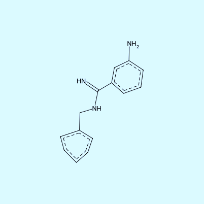 N=C(NCc1ccccc1)c1cccc(N)c1